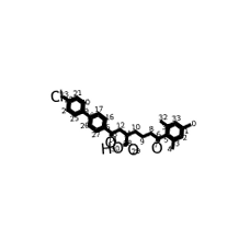 Cc1cc(C)c(C(=O)CCCC(CC(=O)c2ccc(-c3ccc(Cl)cc3)cc2)C(=O)O)c(C)c1